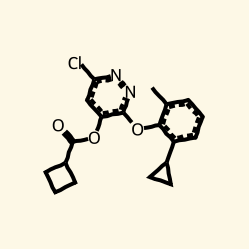 Cc1cccc(C2CC2)c1Oc1nnc(Cl)cc1OC(=O)C1CCC1